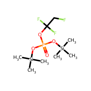 C[Si](C)(C)OP(=O)(OC(F)(F)CF)O[Si](C)(C)C